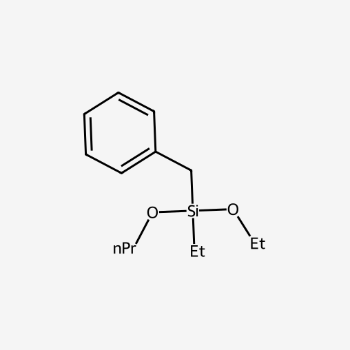 CCCO[Si](CC)(Cc1ccccc1)OCC